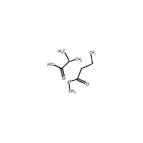 CC(C)C(=O)O.CCCC(=O)OC